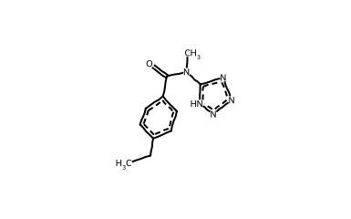 CCc1ccc(C(=O)N(C)c2nnn[nH]2)cc1